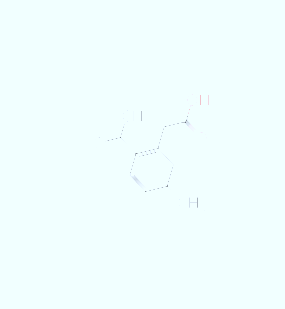 CC1C=CC(C(C)C)=C(CC(=O)O)C1